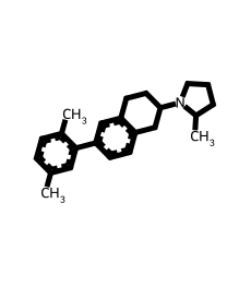 Cc1ccc(C)c(-c2ccc3c(c2)CCC(N2CCCC2C)C3)c1